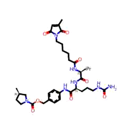 CC1=CC(=O)N(CCCCCC(=O)N[C@H](C(=O)N[C@@H](CCCNC(N)=O)C(=O)Nc2ccc(COC(=O)N3CC[C@@H](C)C3)cc2)C(C)C)C1=O